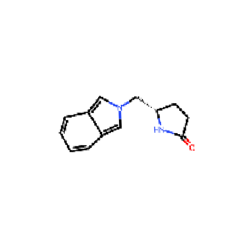 O=C1CC[C@@H](Cn2cc3ccccc3c2)N1